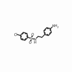 Nc1ccc(CCNS(=O)(=O)c2ccc(Cl)cc2)cc1